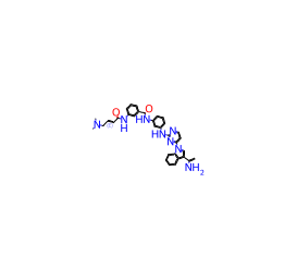 C=C(N)c1cn(-c2ccnc(Nc3cccc(NC(=O)c4cccc(NC(=O)/C=C/CN(C)C)c4)c3)n2)c2ccccc12